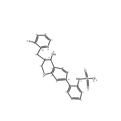 O=S(=O)(Nc1ccccc1-c1ccc2c(c1)OCC(Cc1ncccc1F)C2O)C(F)(F)F